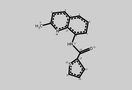 Cc1ccc2cccc(NC(=O)c3cccs3)c2n1